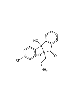 NCC[N+]1(O)C(=O)c2ccccc2C1(O)c1ccc(Cl)cc1